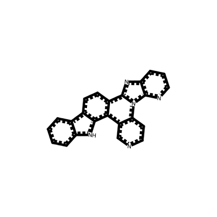 c1cnc2c(c1)nc1c3ccc4c5ccccc5[nH]c4c3c3cnccc3n21